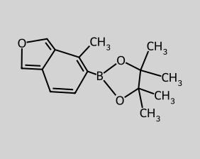 Cc1c(B2OC(C)(C)C(C)(C)O2)ccc2cocc12